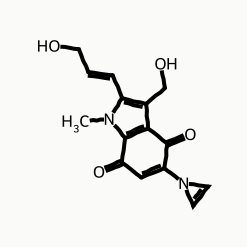 Cn1c(C=CCO)c(CO)c2c1C(=O)C=C(N1C=C1)C2=O